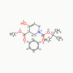 COC(=O)C1C(O)=CCN(C(=O)OC(C)(C)C)[C@@H]1c1ccccc1